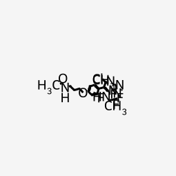 CC(=O)NCCCOc1cc(C)c(-c2c(Cl)nc3ncnn3c2N[C@@H](C)C(F)(F)F)c(F)c1